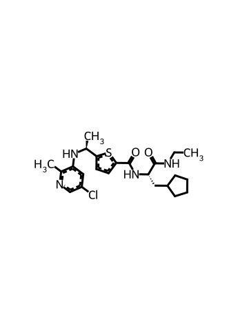 CCNC(=O)[C@H](CC1CCCC1)NC(=O)c1ccc([C@H](C)Nc2cc(Cl)cnc2C)s1